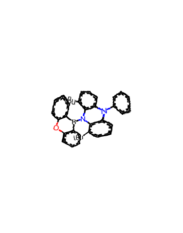 CC(C)(C)c1cccc2c1N(B1c3ccccc3Oc3ccccc31)c1c(cccc1C(C)(C)C)N2c1ccccc1